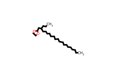 CCCCCCCCCCCCCCCCCCC(CCC)CC1OCCO1